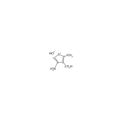 Cc1scc(N)c1C(=O)O.Cl